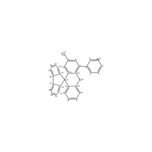 Clc1cc(-c2cccnc2)c2c(c1)C1(c3ccccc3S2)c2ccccc2-c2ccccc21